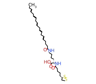 CCC=CCC=CCC=CCC=CCC=CCCCC(=O)NCCCC[C@H](NC(=O)CCCC[C@@H]1CCSS1)C(=O)O